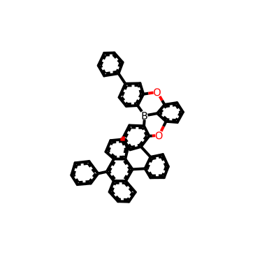 c1ccc(-c2ccc3c(c2)Oc2cccc4c2B3c2cccc(-c3ccccc3-c3c5ccccc5c(-c5ccccc5)c5ccccc35)c2O4)cc1